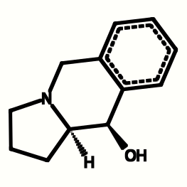 O[C@@H]1c2ccccc2CN2CCC[C@H]12